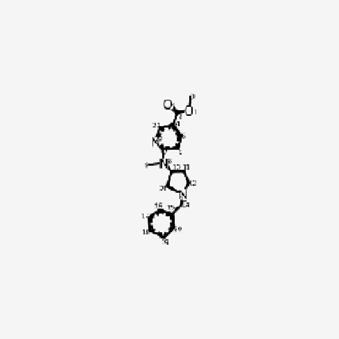 COC(=O)c1ccc(N(C)C2CCN(Cc3ccccc3)C2)nc1